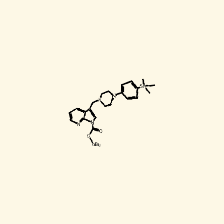 CCCCOC(=O)n1cc(CN2CCN(c3cc[c]([Sn]([CH3])([CH3])[CH3])cc3)CC2)c2cccnc21